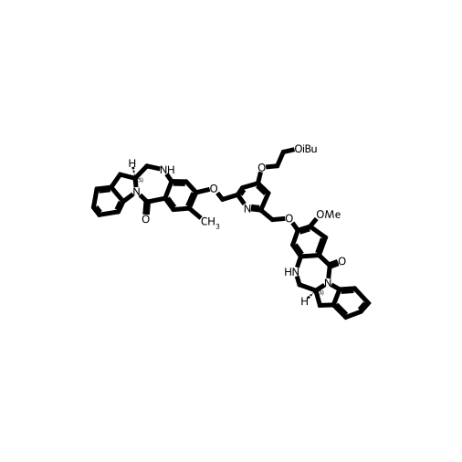 COc1cc2c(cc1OCc1cc(OCCOCC(C)C)cc(COc3cc4c(cc3C)C(=O)N3c5ccccc5C[C@H]3CN4)n1)NC[C@@H]1Cc3ccccc3N1C2=O